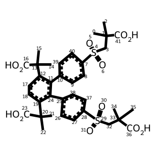 CC(C)(CS(=O)(=O)c1ccc(-c2c(C(C)(C)C(=O)O)ccc(C(C)(C)C(=O)O)c2-c2ccc(S(=O)(=O)CC(C)(C)C(=O)O)cc2)cc1)C(=O)O